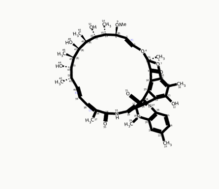 CO[C@H]1/C=C/O[C@@]2(C)Oc3c(C)c(O)c4c(=O)c(c5n(C)c6cc(C)ccc6nc-5c4c3C2=O)NC(=O)/C(C)=C\C=C\[C@H](C)[C@H](O)[C@@H](C)[C@@H](O)[C@@H](C)[C@H](O)[C@@H]1C